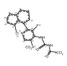 O=C(NC(=O)C(Cl)(Cl)Cl)Nc1c(C(=O)O)cnc(-c2cccc3cccc(Cl)c23)c1F